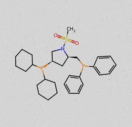 CS(=O)(=O)N1C[C@H](P(C2CCCCC2)C2CCCCC2)C[C@@H]1CP(c1ccccc1)c1ccccc1